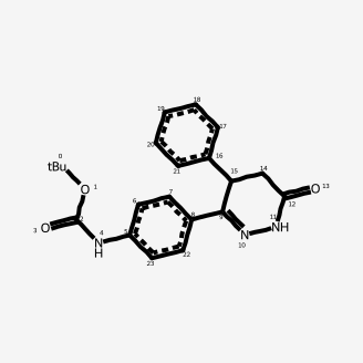 CC(C)(C)OC(=O)Nc1ccc(C2=NNC(=O)CC2c2ccccc2)cc1